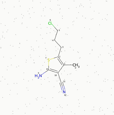 Cc1c(CCCCl)sc(N)c1C#N